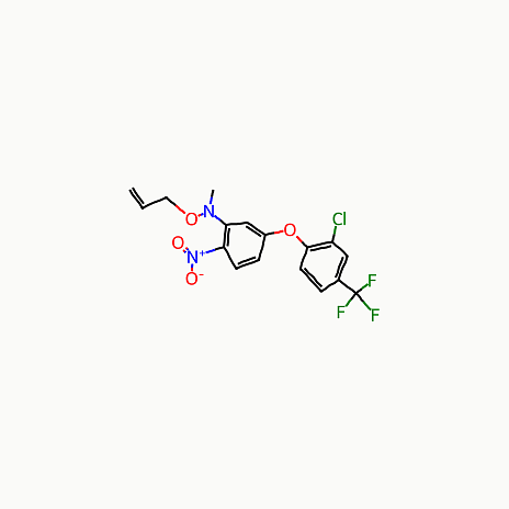 C=CCON(C)c1cc(Oc2ccc(C(F)(F)F)cc2Cl)ccc1[N+](=O)[O-]